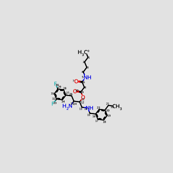 CCCCCNC(=O)CC(=O)OC(CNCc1cccc(CC)c1)C(N)Cc1cc(F)cc(F)c1